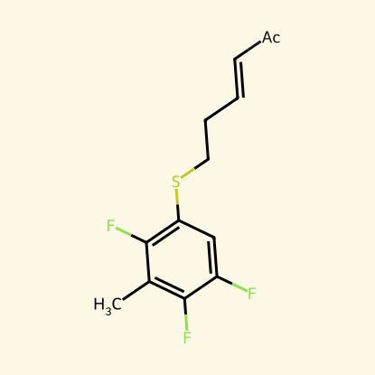 CC(=O)C=CCCSc1cc(F)c(F)c(C)c1F